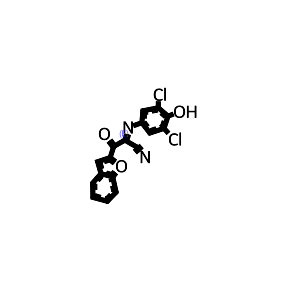 N#C/C(=N\c1cc(Cl)c(O)c(Cl)c1)C(=O)c1cc2ccccc2o1